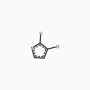 [Li][c]1sccc1Cl